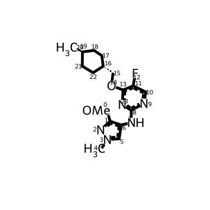 COc1nn(C)cc1Nc1ncc(F)c(OC[C@H]2CC[C@H](C)CC2)n1